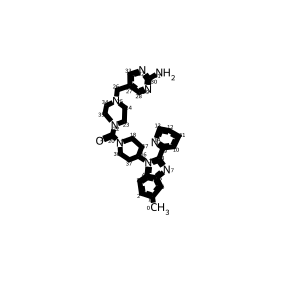 Cc1ccc2c(c1)nc(-c1ccccn1)n2C1CCN(C(=O)N2CCN(Cc3cnc(N)nc3)CC2)CC1